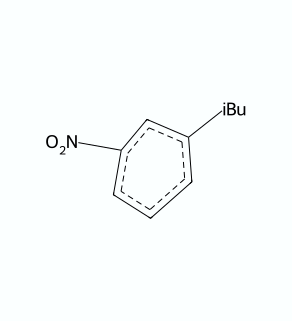 [CH2]CC(C)c1cccc([N+](=O)[O-])c1